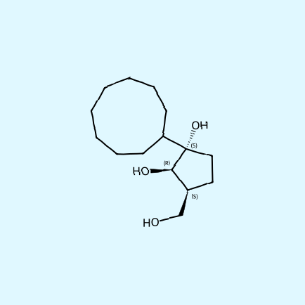 OC[C@@H]1CC[C@](O)(C2CCCCCCCC2)[C@@H]1O